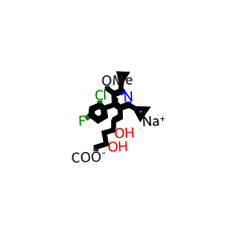 COCc1c(C2CC2)nc(C2CC2)c(/C=C/[C@@H](O)C[C@@H](O)CC(=O)[O-])c1-c1ccc(F)cc1Cl.[Na+]